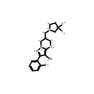 CC(C)c1c(-c2ccccc2F)nn2c1OCC(CN1CCC(F)(F)C1)C2